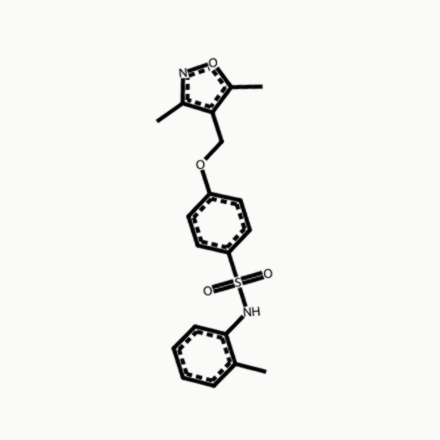 Cc1ccccc1NS(=O)(=O)c1ccc(OCc2c(C)noc2C)cc1